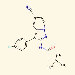 CC(C)(C)CC(=O)Nc1nn2ccc(C#N)cc2c1-c1ccc(F)cc1